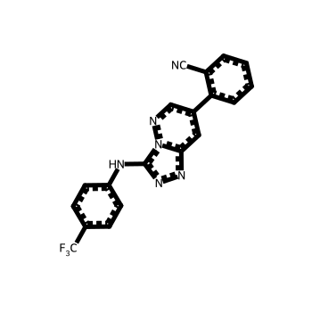 N#Cc1ccccc1-c1cnn2c(Nc3ccc(C(F)(F)F)cc3)nnc2c1